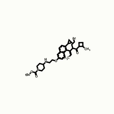 C/C=C(\c1c(C2CC2)ccc2cc(OCCNC3CCN(C(=O)OC(C)(C)C)CC3)ccc12)C(CCC(C)=O)C(=O)C1CCC1C